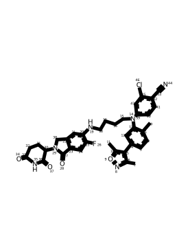 Cc1ccc(-c2c(C)noc2C)cc1N(CCCCNc1cc2c(cc1F)C(=O)N(C1CCC(=O)NC1=O)C2)c1ccc(C#N)c(Cl)c1